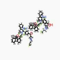 C[C@@H]1Cc2c([nH]c3ccccc23)[C@@H](c2c(F)cc(C(=O)C3CN(CCCF)C3)cc2F)N1CC(F)(F)CO[Si](c1ccccc1)(c1ccccc1)C(C)(C)C.C[C@@H]1Cc2c([nH]c3ccccc23)[C@@H](c2c(F)cc(C(C)(O)C3CN(CCCF)C3)cc2F)N1CC(F)(F)CO[Si](c1ccccc1)(c1ccccc1)C(C)(C)C